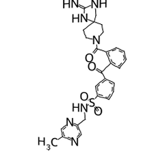 Cc1cnc(CNS(=O)(=O)c2cccc(C(=O)c3ccccc3C(=O)N3CCC4(CC3)CNC(=N)N4)c2)cn1